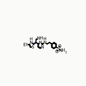 CCC1=CS/C(=C(/C=N)c2ccnc(NCCc3ccc(S(N)(=O)=O)cc3)n2)N1